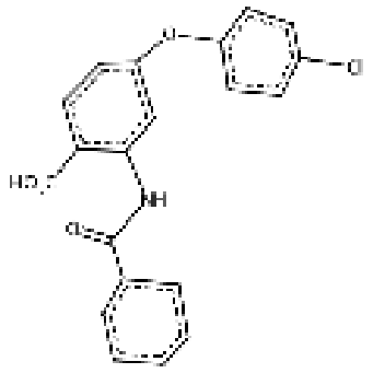 O=C(Nc1cc(Oc2ccc(Cl)cc2)ccc1C(=O)O)c1ccccc1